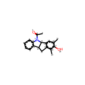 CC(=O)N1c2ccccc2C2Cc3c(cc(C)c(O)c3C)C21